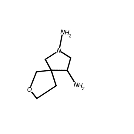 NC1CN(N)CC12CCOC2